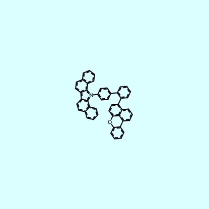 c1ccc2c(c1)Oc1ccc(-c3ccccc3-c3ccc(-n4c5c6ccccc6ccc5c5ccc6ccccc6c54)cc3)c3cccc-2c13